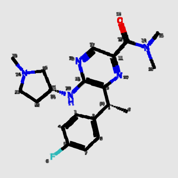 C[C@H](c1ccc(F)cc1)c1nc(C(=O)N(C)C)cnc1N[C@@H]1CCN(C)C1